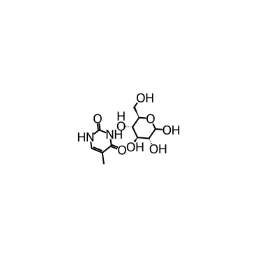 Cc1c[nH]c(=O)[nH]c1=O.OC[C@H]1OC(O)[C@H](O)[C@@H](O)[C@@H]1O